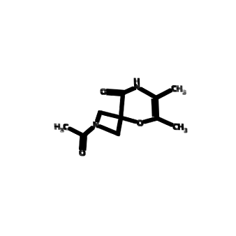 CC(=O)N1CC2(C1)OC(C)=C(C)NC2=O